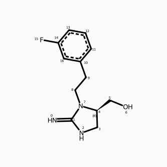 N=C1NC[C@H](CO)N1CCc1cccc(F)c1